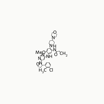 C=CC(=O)Nc1cc(Nc2cc(N3OCCC3c3cccc(Cl)c3C)ncn2)c(OC)cc1N1CCC(N2CCOCC2)CC1